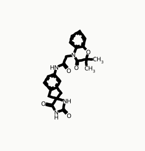 CC1(C)Oc2ccccc2N(CC(=O)Nc2ccc3c(c2)CC2(C3)NC(=O)NC2=O)C1=O